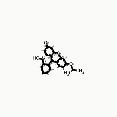 CC(C)Oc1ccc2c(-c3ccccc3C(=O)O)c3ccc(=O)cc-3oc2c1